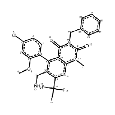 COc1cc(Cl)ccc1-c1c(CN)c(C(F)(F)F)nc2c1c(=O)n(Cc1ccccc1)c(=O)n2C